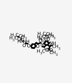 COC(=O)c1c(C)[nH]c2c(O[Si](C)(C)C(C)(C)C)cc3c(c12)[C@H](C(C)Cl)CN3C(=O)c1cc2cc(OCC(=O)NNC(=O)OC(C)(C)C)ccc2o1